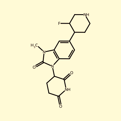 Cn1c(=O)n(C2CCC(=O)NC2=O)c2ccc(C3CCNCC3F)cc21